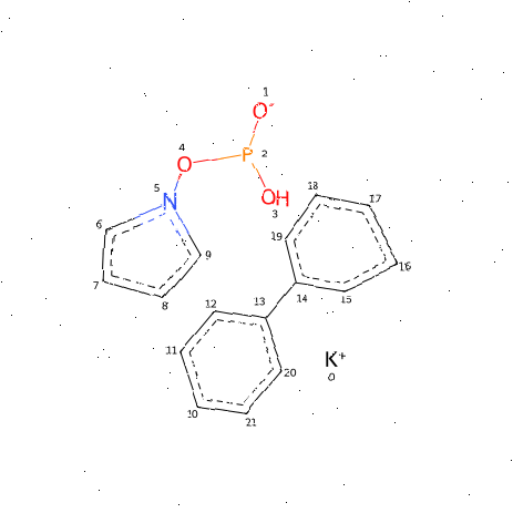 [K+].[O-]P(O)On1cccc1.c1ccc(-c2ccccc2)cc1